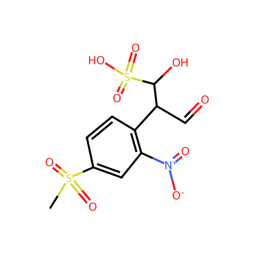 CS(=O)(=O)c1ccc(C(C=O)C(O)S(=O)(=O)O)c([N+](=O)[O-])c1